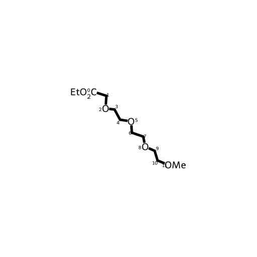 CCOC(=O)COCCOCCOCCOC